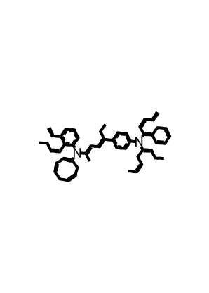 C=C/C=C\C(=C1\C=CC=CC1)N(/C(=C/CC)C/C=C\C)c1ccc(/C(=C/C=C(\C)N(/C2=C/C=C\C/C=C\C2)c2cccc(C=C)c2/C=C\CC)CC)cc1